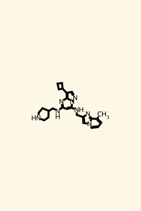 Cc1cccn2cc(CNc3cc(NCC4CCNCC4)nc4c(C5CCC5)cnn34)nc12